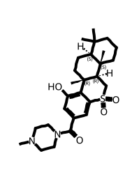 CN1CCN(C(=O)c2cc(O)c3c(c2)S(=O)(=O)C[C@@H]2[C@@]4(C)CCCC(C)(C)[C@@H]4CC[C@@]32C)CC1